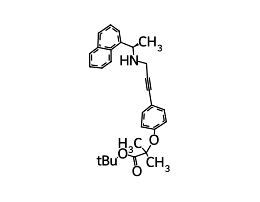 C[C@@H](NCC#Cc1ccc(OC(C)(C)C(=O)OC(C)(C)C)cc1)c1cccc2ccccc12